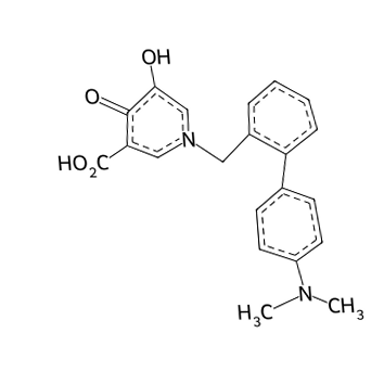 CN(C)c1ccc(-c2ccccc2Cn2cc(O)c(=O)c(C(=O)O)c2)cc1